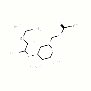 CCCC(=O)OC[C@H]1O[C@H](O)[C@H](NC(C)=O)[C@@H](OC(C)CN[C@@H](C)[C]=O)[C@@H]1O